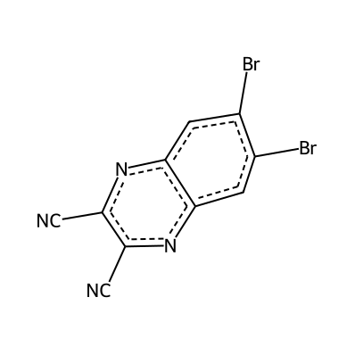 N#Cc1nc2cc(Br)c(Br)cc2nc1C#N